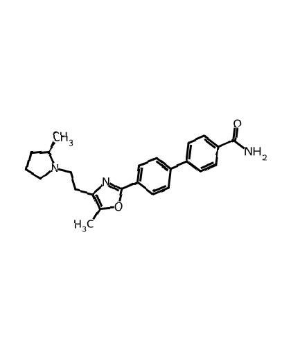 Cc1oc(-c2ccc(-c3ccc(C(N)=O)cc3)cc2)nc1CCN1CCC[C@H]1C